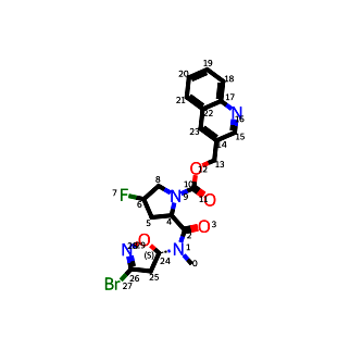 CN(C(=O)C1CC(F)CN1C(=O)OCc1cnc2ccccc2c1)[C@@H]1CC(Br)=NO1